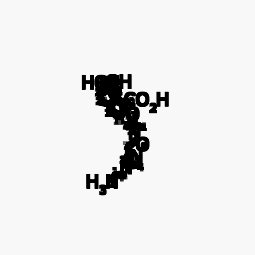 [NH3+]CCn1cnc(CC(=O)N2CC(Oc3ccc4c(c3C(=O)O)O[B-](O)(O)CC4)C2)c1